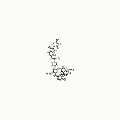 COc1cc(N2CCC(N(C)Cc3ccc4c(c3F)CN(C3CCC(=O)NC3=O)C4=O)CC2)ccc1Nc1ncc(Cl)c(Nc2ccccc2P(=O)(OC)OC)n1